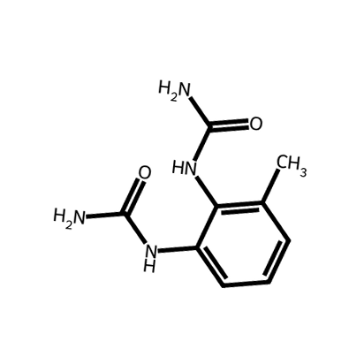 Cc1cccc(NC(N)=O)c1NC(N)=O